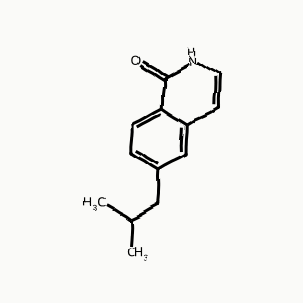 CC(C)Cc1ccc2c(=O)[nH]ccc2c1